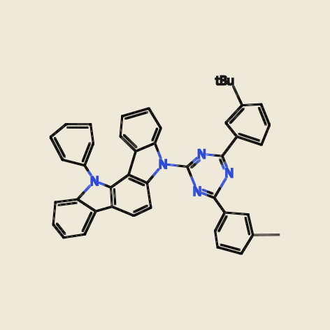 Cc1cccc(-c2nc(-c3cccc(C(C)(C)C)c3)nc(-n3c4ccccc4c4c3ccc3c5ccccc5n(-c5ccccc5)c34)n2)c1